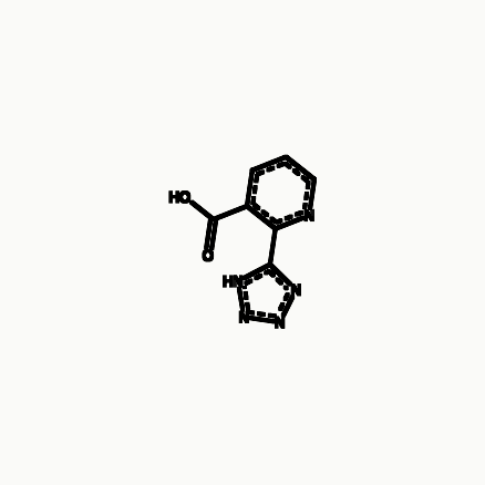 O=C(O)c1cccnc1-c1nnn[nH]1